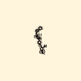 CCS(=O)(=O)c1ccc(COc2ccc(-c3cn(C(=O)NCC4CCN(c5ccccc5)C4)cn3)cc2)c(C#N)c1